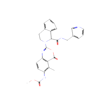 Cc1c(NC(=O)OC(C)(C)C)ccc2nc(N3CCc4ccccc4C3C(=O)NCc3cccnc3)oc(=O)c12